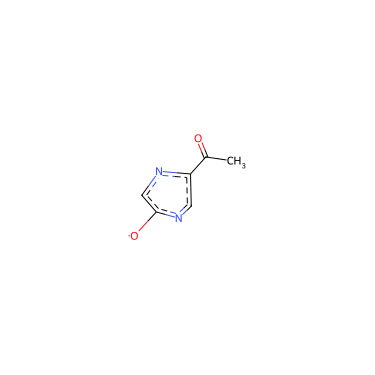 CC(=O)c1cnc([O])cn1